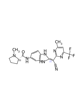 Cc1cc(C(F)(F)F)nc(/C(C#N)=C2\Nc3ccc(NC(=O)[C@@H]4CCCN4C)cc3N2)n1